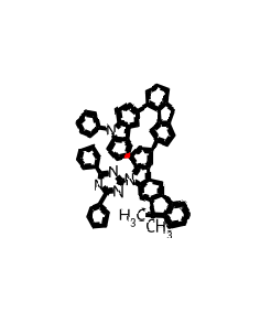 CC1(C)c2ccccc2-c2cc3c4cc(-c5ccc6c(c5)-c5c(cccc5-c5ccc7c(c5)c5ccccc5n7-c5ccccc5)C6)ccc4n(-c4nc(-c5ccccc5)nc(-c5ccccc5)n4)c3cc21